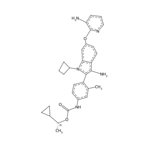 Cc1cc(NC(=O)O[C@H](C)C2CC2)ccc1-c1c(N)c2ccc(Oc3ncccc3N)cc2n1C1CCC1